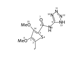 COc1c(C)sc(C(=O)Nc2nnn[nH]2)c1OC